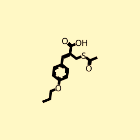 CCCOc1ccc(/C=C(\CSC(C)=O)C(=O)O)cc1